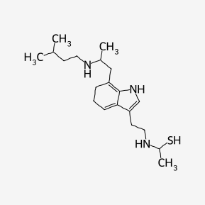 CC(C)CCNC(C)CC1=c2[nH]cc(CCNC(C)S)c2=CCC1